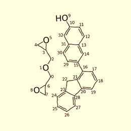 C(OCC1CO1)C1CO1.Oc1ccc2cc(-c3cccc4c3Cc3ccccc3-4)ccc2c1